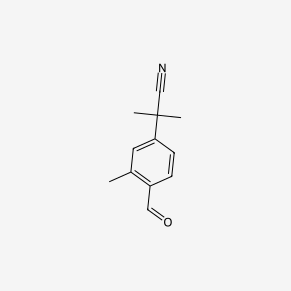 Cc1cc(C(C)(C)C#N)ccc1C=O